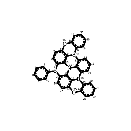 c1ccc(B2c3ccc4c5c3N3c6c(cccc6B6c7ccccc7Oc7ccc2c3c76)B5c2ccccc2O4)cc1